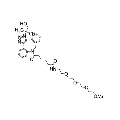 COCCOCCOCCOCCNC(=O)CCCCC(=O)N1Cc2ccccc2-c2c(nnn2C(C)(C)CO)-c2ccccc21